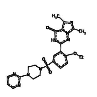 CCOc1ccc(S(=O)(=O)N2CCN(c3ncccn3)CC2)cc1-c1nn2c(C)nc(C)c2c(=O)[nH]1